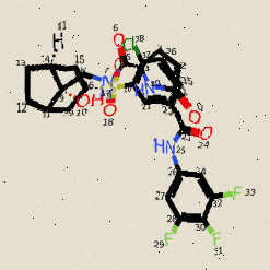 O=C1CC[C@H](C(=O)NC[C@@]2(O)C3CC[C@H]2C[C@H](S(=O)(=O)c2cc(C(=O)Nc4cc(F)c(F)c(F)c4)ccc2Cl)C3)N1